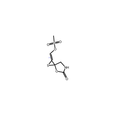 CS(=O)(=O)O/C=C1/SC12CNC(=O)O2